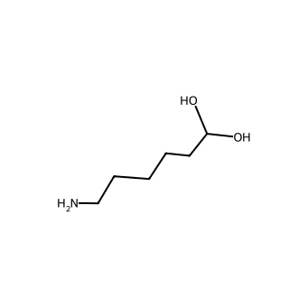 NCCCCCC(O)O